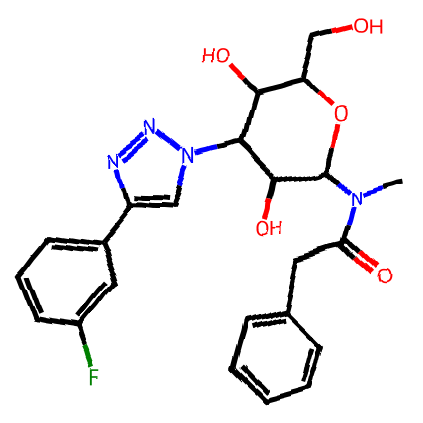 CN(C(=O)Cc1ccccc1)C1OC(CO)C(O)C(n2cc(-c3cccc(F)c3)nn2)C1O